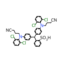 N#CCCCN(c1ccc(C(c2ccc(N(CCCC#N)c3c(Cl)cccc3Cl)cc2)c2ccccc2S(=O)(=O)O)cc1)c1c(Cl)cccc1Cl